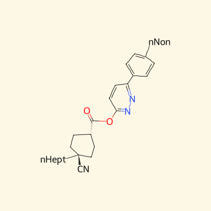 CCCCCCCCCc1ccc(-c2ccc(OC(=O)[C@H]3CC[C@@](C#N)(CCCCCCC)CC3)nn2)cc1